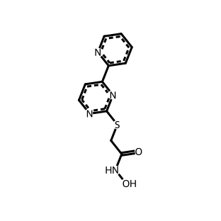 O=C(CSc1nccc(-c2ccccn2)n1)NO